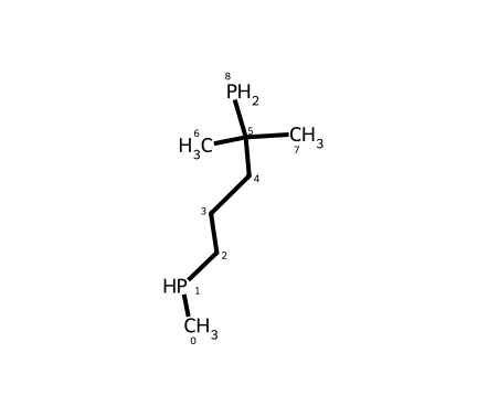 CPCCCC(C)(C)P